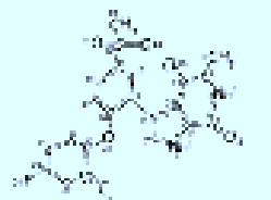 Cc1[nH]c(=O)c2[nH]cc(-c3cc(S(C)(=O)=O)ccc3Oc3ccc(F)cc3F)c2c1Cl